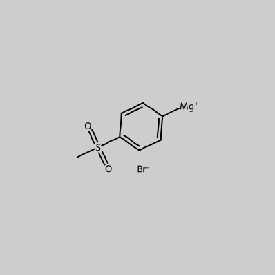 CS(=O)(=O)c1cc[c]([Mg+])cc1.[Br-]